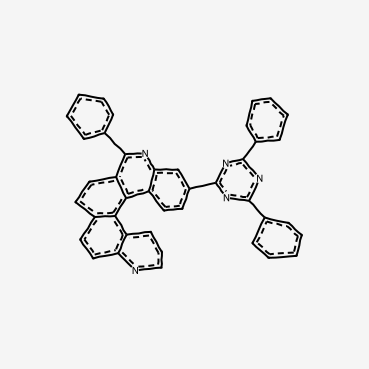 c1ccc(-c2nc(-c3ccccc3)nc(-c3ccc4c(c3)nc(-c3ccccc3)c3ccc5ccc6ncccc6c5c34)n2)cc1